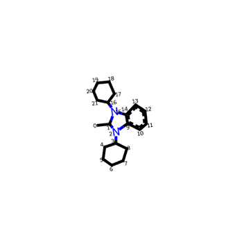 CC1N(C2CCCCC2)c2ccccc2N1C1CCCCC1